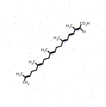 CC\C(C(=O)O)=C(C)/C=C/C=C(\C)CC/C=C(\C)CC/C=C(\C)CCC=C(C)C